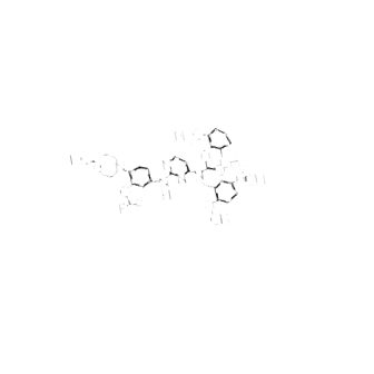 COc1ccc(OC)c(CN(C(=O)Oc2c(C)cccc2C)c2ccnc(Nc3ccc(N4CCN(C)CC4)c(OC(F)F)c3)n2)c1